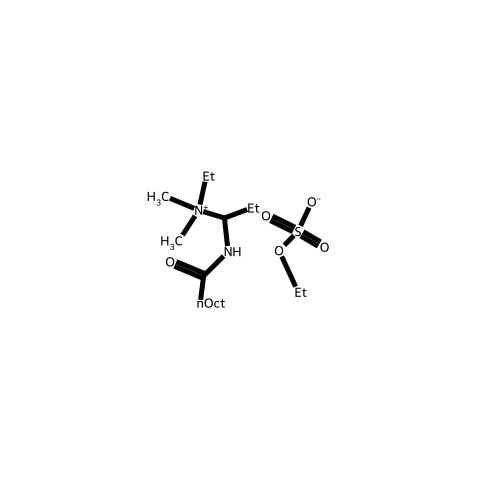 CCCCCCCCC(=O)NC(CC)[N+](C)(C)CC.CCOS(=O)(=O)[O-]